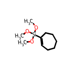 CO[Si](OC)(OC)C1=CCCCCC1